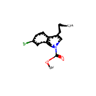 CC(C)(C)OC(=O)n1cc(CC#N)c2ccc(Br)cc21